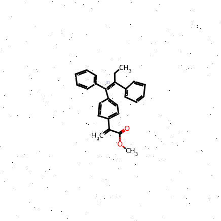 C=C(C(=O)OC)c1ccc(/C(=C(/CC)c2ccccc2)c2ccccc2)cc1